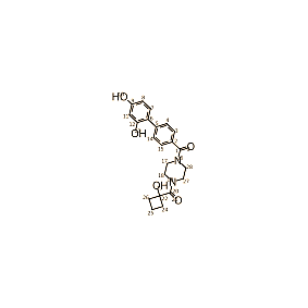 O=C(c1ccc(-c2ccc(O)cc2O)cc1)N1CCN(C(=O)C2(O)CCC2)CC1